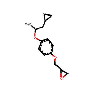 COC(CC1CC1)Oc1ccc(OCC2CO2)cc1